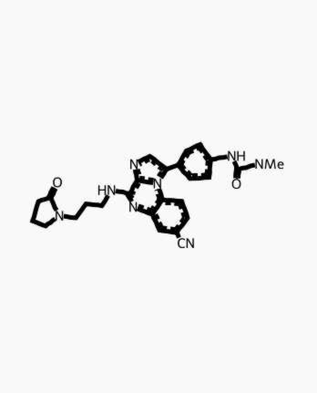 CNC(=O)Nc1ccc(-c2cnc3c(NCCCN4CCCC4=O)nc4cc(C#N)ccc4n23)cc1